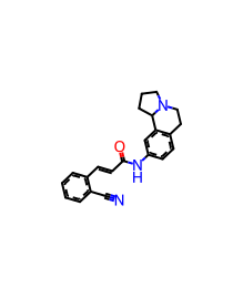 N#Cc1ccccc1C=CC(=O)Nc1ccc2c(c1)C1CCCN1CC2